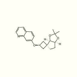 CC1(C)O[C@H]2CC[C@]3(C[C@H](Oc4ccc5cccnc5c4)C3)[C@H]2O1